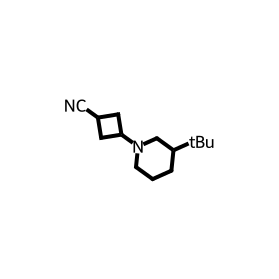 CC(C)(C)C1CCCN(C2CC(C#N)C2)C1